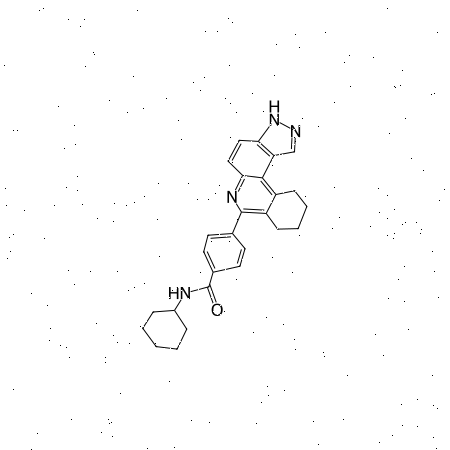 O=C(NC1CCCCC1)c1ccc(-c2nc3ccc4[nH]ncc4c3c3c2CCCC3)cc1